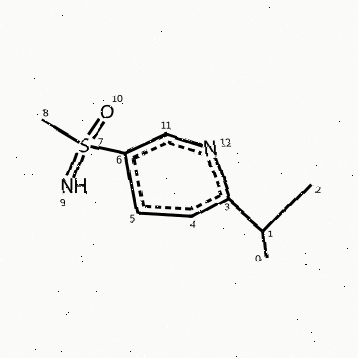 CC(C)c1ccc(S(C)(=N)=O)cn1